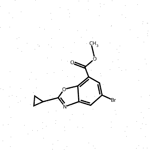 COC(=O)c1cc(Br)cc2nc(C3CC3)oc12